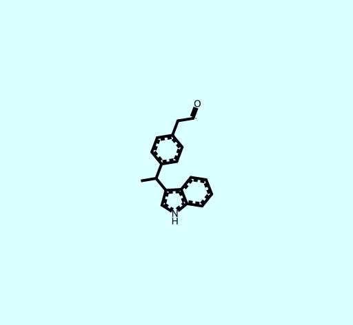 CC(c1ccc(C[C]=O)cc1)c1c[nH]c2ccccc12